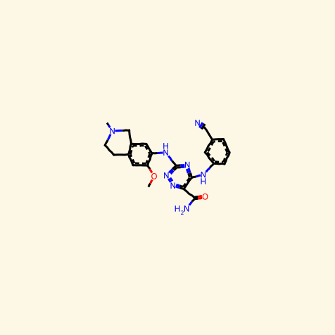 COc1cc2c(cc1Nc1nnc(C(N)=O)c(Nc3cccc(C#N)c3)n1)CN(C)CC2